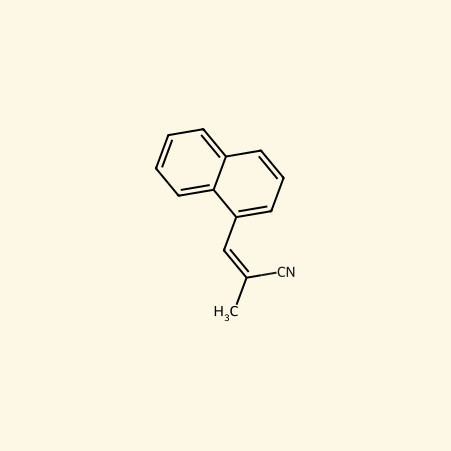 C/C(C#N)=C/c1cccc2ccccc12